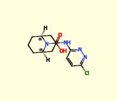 O=C(O)N1[C@@H]2CCC[C@H]1CC(Nc1ccc(Cl)nn1)C2